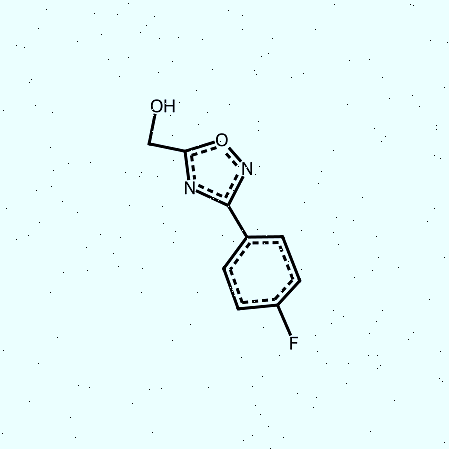 OCc1nc(-c2ccc(F)cc2)no1